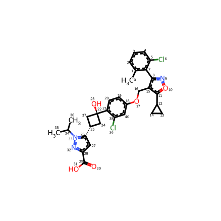 Cc1cccc(Cl)c1-c1noc(C2CC2)c1COc1ccc([C@]2(O)C[C@H](c3cc(C(=O)O)nn3C(C)C)C2)c(Cl)c1